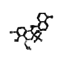 CC[C@H]1C[C@@](O)(C(F)(F)F)[C@H](Nc2cccc3c2C=CC[N+]3=O)c2ccc(Cl)c(O)c21